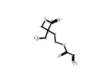 C=CC(=O)OCCC1(CC(F)(F)F)COC1=O